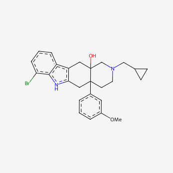 COc1cccc(C23CCN(CC4CC4)CC2(O)Cc2c([nH]c4c(Br)cccc24)C3)c1